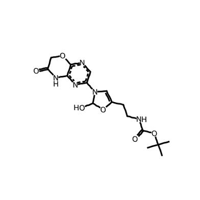 CC(C)(C)OC(=O)NCCC1=CN(c2cnc3c(n2)NC(=O)CO3)C(O)O1